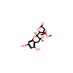 COC(=O)C[C@]12OC(=O)C[C@@H]1O[C@@H]1Cc3c(O)cc(O)cc3O[C@@H]12